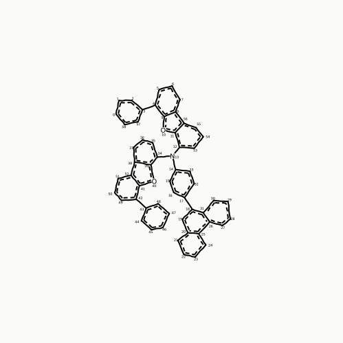 c1ccc(-c2cccc3c2oc2c(N(c4ccc(-c5cc6ccccc6c6ccccc56)cc4)c4cccc5c4oc4c(-c6ccccc6)cccc45)cccc23)cc1